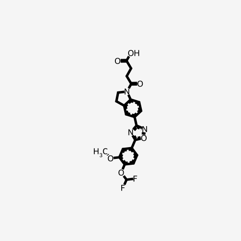 COc1cc(-c2nc(-c3ccc4c(c3)CCN4C(=O)CCC(=O)O)no2)ccc1OC(F)F